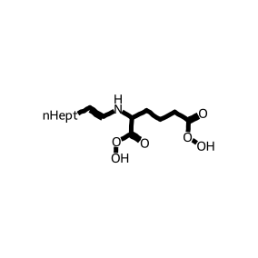 CCCCCCCC=CNC(CCCC(=O)OO)C(=O)OO